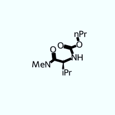 CCCOC(=O)N[C@H](C(=O)NC)C(C)C